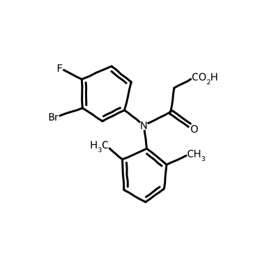 Cc1cccc(C)c1N(C(=O)CC(=O)O)c1ccc(F)c(Br)c1